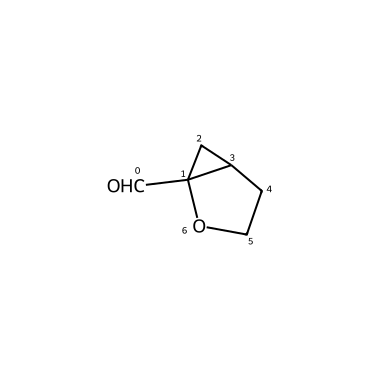 O=CC12CC1CCO2